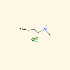 CN(C)CC[CH2][Ga].Cl.Cl